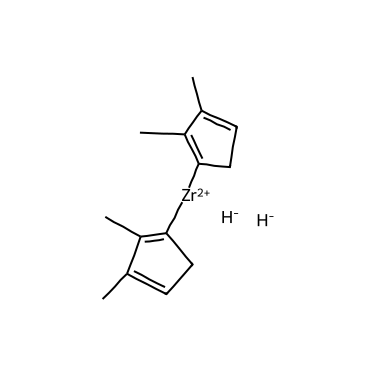 CC1=CC[C]([Zr+2][C]2=C(C)C(C)=CC2)=C1C.[H-].[H-]